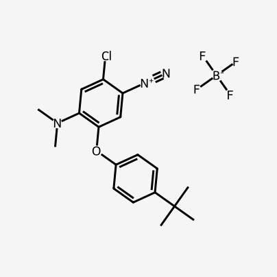 CN(C)c1cc(Cl)c([N+]#N)cc1Oc1ccc(C(C)(C)C)cc1.F[B-](F)(F)F